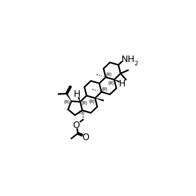 C=C(C)[C@@H]1CC[C@]2(COC(C)=O)CC[C@]3(C)C(CCC4[C@@]5(C)CCC(N)C(C)(C)[C@@H]5CC[C@]43C)[C@@H]12